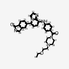 CCOCCN1CCN(C(=O)c2ccc(Nc3ccc(-c4ccc5c(c4)C=NC5=O)n4ccnc34)cc2)CC1